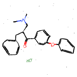 CN(C)C[C@H](Cc1ccccc1)C(=O)c1cccc(Oc2ccccc2)c1.Cl